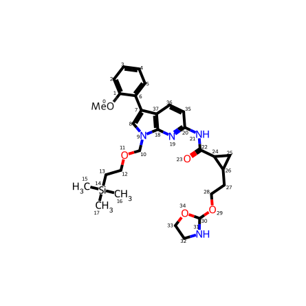 COc1ccccc1-c1cn(COCC[Si](C)(C)C)c2nc(NC(=O)C3CC3CCOC3NCCO3)ccc12